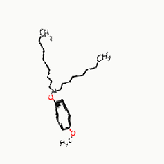 CCCCCCC[CH2][Al]([CH2]CCCCCCC)[O]c1ccc(OC)cc1